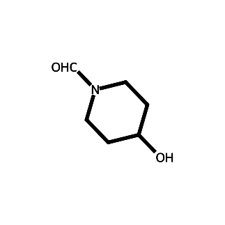 O=CN1CCC(O)CC1